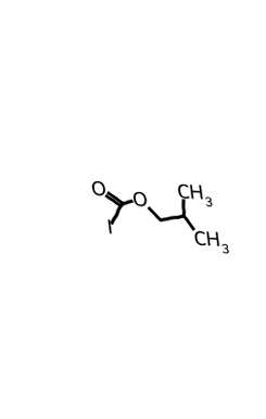 CC(C)COC(=O)I